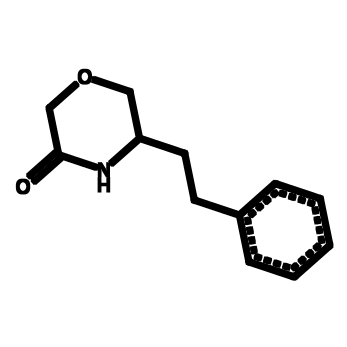 O=C1COCC(CCc2ccccc2)N1